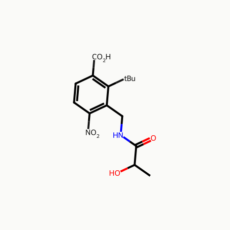 CC(O)C(=O)NCc1c([N+](=O)[O-])ccc(C(=O)O)c1C(C)(C)C